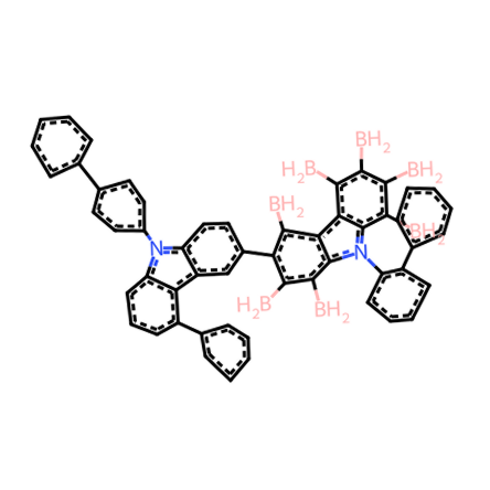 Bc1c(B)c(B)c2c(c1B)c1c(B)c(-c3ccc4c(c3)c3c(-c5ccccc5)cccc3n4-c3ccc(-c4ccccc4)cc3)c(B)c(B)c1n2-c1ccccc1-c1ccccc1